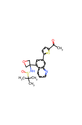 CC(=O)c1ccc(-c2cc(C3(N[S+]([O-])C(C)(C)C)COC3)c3cccnc3c2)s1